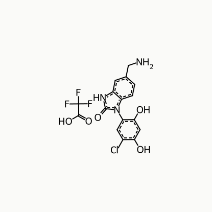 NCc1ccc2c(c1)[nH]c(=O)n2-c1cc(Cl)c(O)cc1O.O=C(O)C(F)(F)F